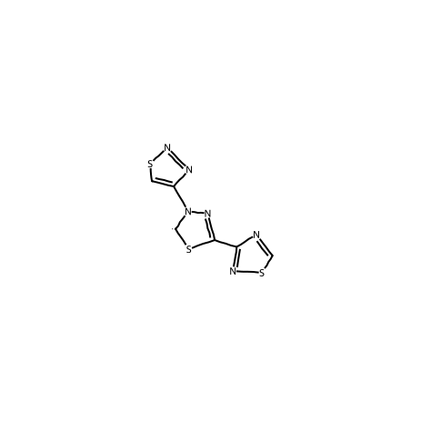 [CH]1SC(c2ncsn2)=NN1c1csnn1